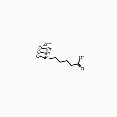 CC(C)[O-].CC(C)[O-].CC(C)[O-].CCCCCC(=O)[O-].[Zr+4]